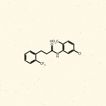 O=C(CCc1ccccc1C(F)(F)F)Nc1cc(Cl)ccc1C(=O)O